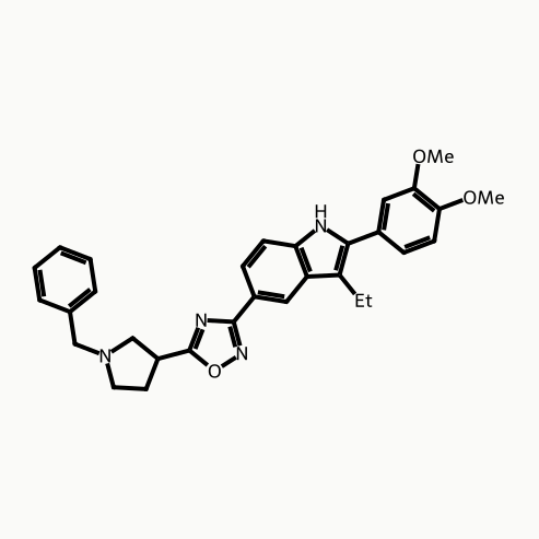 CCc1c(-c2ccc(OC)c(OC)c2)[nH]c2ccc(-c3noc(C4CCN(Cc5ccccc5)C4)n3)cc12